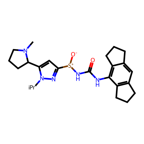 CC(C)n1nc([S+]([O-])NC(=O)Nc2c3c(cc4c2CCC4)CCC3)cc1C1CCCN1C